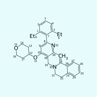 CCc1cccc(CC)c1-c1cc(OC2CCOCC2)c(CN2CCc3ccccc3C2)c(C)n1